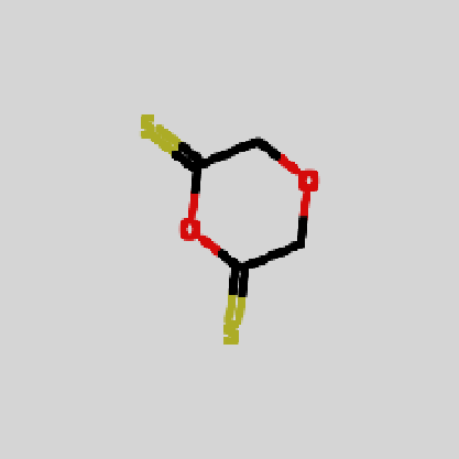 S=C1COCC(=S)O1